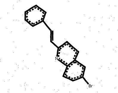 Brc1ccc2nc(C=Cc3ccccc3)ccc2c1